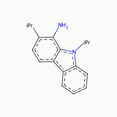 CC(C)c1ccc2c3ccccc3n(C(C)C)c2c1N